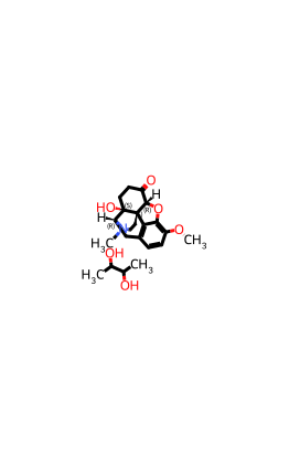 CC(O)C(C)O.COc1ccc2c3c1O[C@H]1C(=O)CC[C@@]4(O)[C@@H](C2)N(C)CC[C@]314